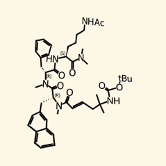 CC(=O)NCCCC[C@H](NC(=O)[C@@H](Cc1ccccc1)N(C)C(=O)[C@@H](Cc1ccc2ccccc2c1)N(C)C(=O)C=CCC(C)(C)NC(=O)OC(C)(C)C)C(=O)N(C)C